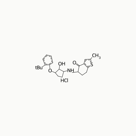 Cc1cc2c(s1)CCC(CNC1CCC(Oc3ccccc3C(C)(C)C)C1O)C2=O.Cl